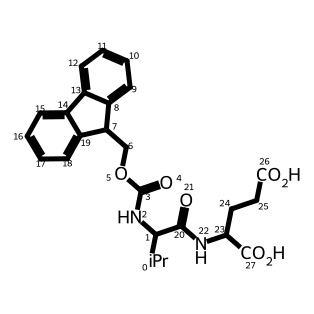 CC(C)C(NC(=O)OCC1c2ccccc2-c2ccccc21)C(=O)NC(CCC(=O)O)C(=O)O